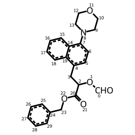 O=COC(Cc1ccc(N2CCOCC2)c2ccccc12)C(=O)OCc1ccccc1